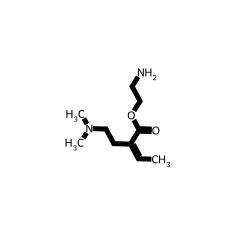 CC=C(CCN(C)C)C(=O)OCCN